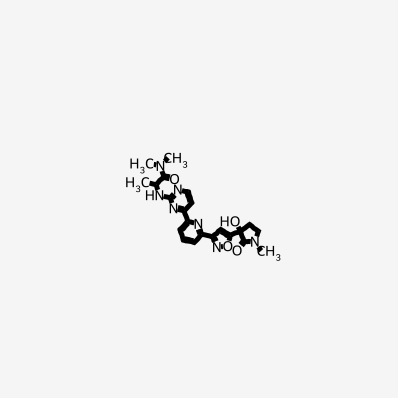 CC(Nc1nccc(-c2cccc(-c3cc(C4(O)CCN(C)C4=O)on3)n2)n1)C(=O)N(C)C